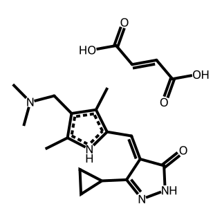 Cc1[nH]c(C=C2C(=O)NN=C2C2CC2)c(C)c1CN(C)C.O=C(O)C=CC(=O)O